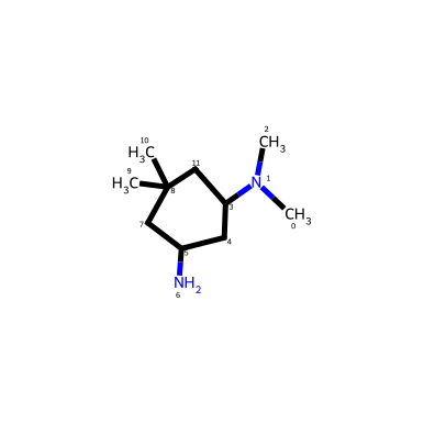 CN(C)C1CC(N)CC(C)(C)C1